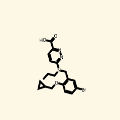 CCCN(Cc1cc(Br)ccc1OCC1CC1)c1ccc(C(=O)O)nn1